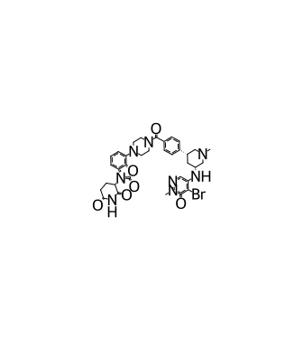 CN1C[C@H](Nc2cnn(C)c(=O)c2Br)C[C@H](c2ccc(C(=O)N3CCN(c4cccc5c4oc(=O)n5C4CCC(=O)NC4=O)CC3)cc2)C1